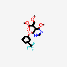 COC=C(C(=O)OC)c1c(OC)ncnc1Oc1cccc(C(F)(F)F)c1